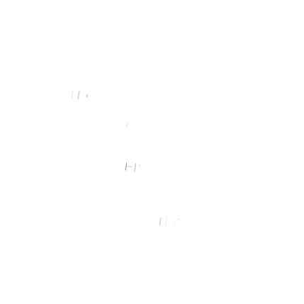 CCC1CC[C@@H](CC)P1